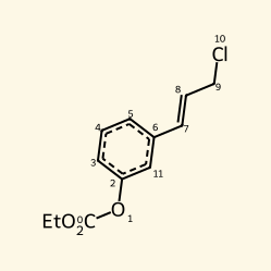 CCOC(=O)Oc1cccc(/C=C/CCl)c1